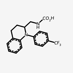 O=C(O)NCC1CCc2ccccc2N1c1ccc(C(F)(F)F)cc1